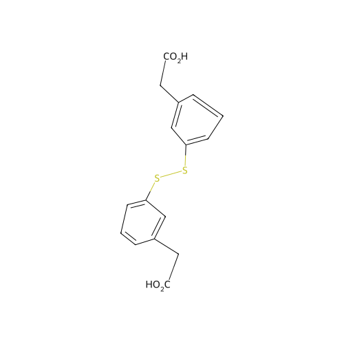 O=C(O)Cc1cccc(SSc2cccc(CC(=O)O)c2)c1